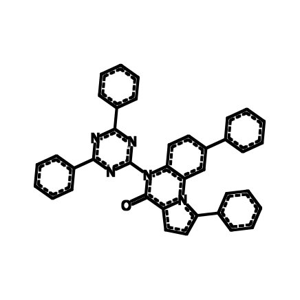 O=c1c2ccc(-c3ccccc3)n2c2cc(-c3ccccc3)ccc2n1-c1nc(-c2ccccc2)nc(-c2ccccc2)n1